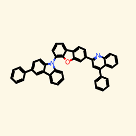 c1ccc(-c2ccc3c(c2)c2ccccc2n3-c2cccc3c2oc2cc(-c4cc(-c5ccccc5)c5ccccc5n4)ccc23)cc1